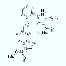 Cc1[nH]c(-c2ccccc2NCc2ccc3c(ccn3C(=O)OC(C)(C)C)c2)cc1C(N)=O